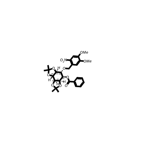 COc1cc(CO[C@@H]2[C@@H](OC(=O)c3ccccc3)[C@H]3OC(C)(C)O[C@H]3[C@@H]3OC(C)(C)O[C@@H]23)c([N+](=O)[O-])cc1OC